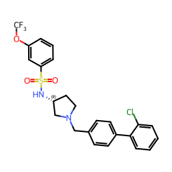 O=S(=O)(N[C@@H]1CCN(Cc2ccc(-c3ccccc3Cl)cc2)C1)c1cccc(OC(F)(F)F)c1